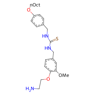 CCCCCCCCOc1ccc(CNC(=S)NCc2ccc(OCCN)c(OC)c2)cc1